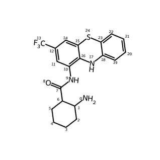 NC1CCCCC1C(=O)Nc1cc(C(F)(F)F)cc2c1Nc1ccccc1S2